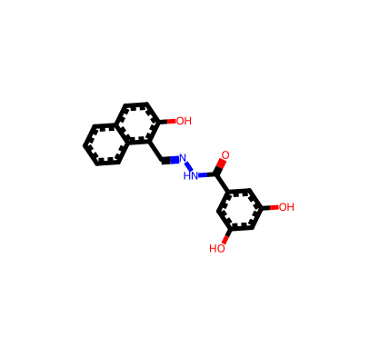 O=C(N/N=C/c1c(O)ccc2ccccc12)c1cc(O)cc(O)c1